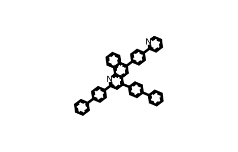 c1ccc(-c2ccc(-c3cc(-c4ccc(-c5ccccc5)cc4)c4cc(-c5ccc(-c6ccccn6)cc5)c5ccccc5c4n3)cc2)cc1